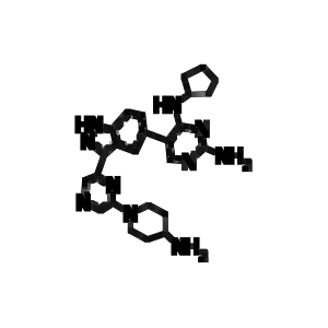 Nc1ncc(-c2ccc3[nH]nc(-c4cncc(N5CCC(N)CC5)n4)c3c2)c(NC2CCCC2)n1